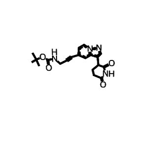 CC(C)(C)OC(=O)NCC#Cc1ccn2ncc(C3CCC(=O)NC3=O)c2c1